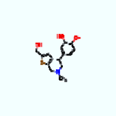 CN1Cc2sc(CO)cc2C(c2ccc(O)c(O)c2)C1